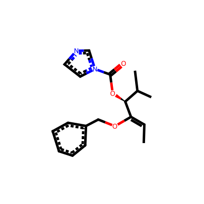 C/C=C(\OCc1ccccc1)[C@@H](OC(=O)n1ccnc1)C(C)C